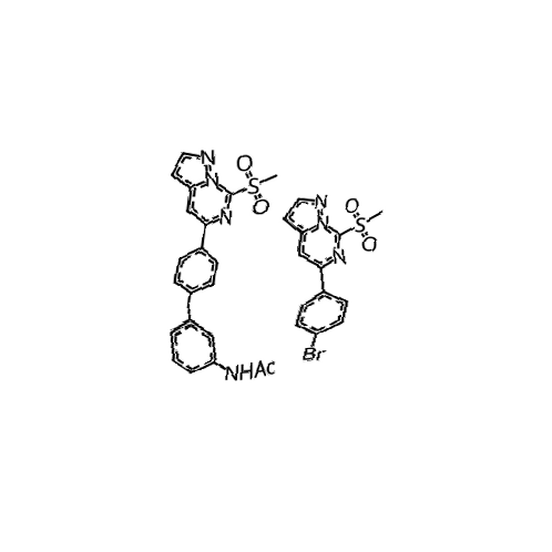 CC(=O)Nc1cccc(-c2ccc(-c3cc4ccnn4c(S(C)(=O)=O)n3)cc2)c1.CS(=O)(=O)c1nc(-c2ccc(Br)cc2)cc2ccnn12